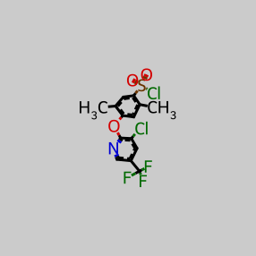 Cc1cc(S(=O)(=O)Cl)c(C)cc1Oc1ncc(C(F)(F)F)cc1Cl